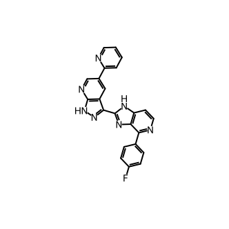 Fc1ccc(-c2nccc3[nH]c(-c4n[nH]c5ncc(-c6ccccn6)cc45)nc23)cc1